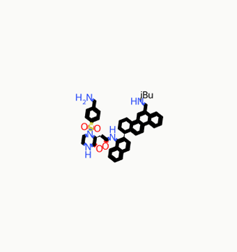 CC[C@H](C)NCc1cc2c3c(ccc2c2ccccc12)[C@H](c1ccc2ccccc2c1NC(=O)C[C@@H]1C(=O)NCCN1S(=O)(=O)c1ccc(CN)cc1)CCC3